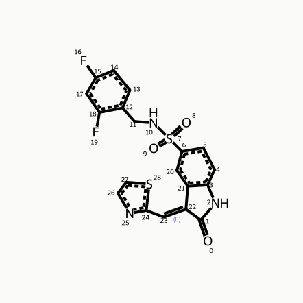 O=C1Nc2ccc(S(=O)(=O)NCc3ccc(F)cc3F)cc2/C1=C\c1nccs1